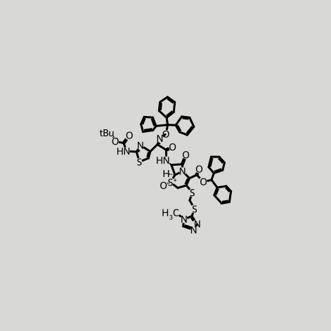 Cn1cnnc1SCSC1=C(C(=O)OC(c2ccccc2)c2ccccc2)N2C(=O)[C@@H](NC(=O)/C(=N\OC(c3ccccc3)(c3ccccc3)c3ccccc3)c3csc(NC(=O)OC(C)(C)C)n3)[C@@H]2[S+]([O-])C1